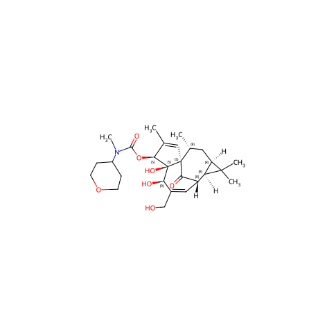 CC1=C[C@]23C(=O)[C@@H](C=C(CO)[C@@H](O)[C@]2(O)[C@H]1OC(=O)N(C)C1CCOCC1)[C@H]1[C@@H](C[C@H]3C)C1(C)C